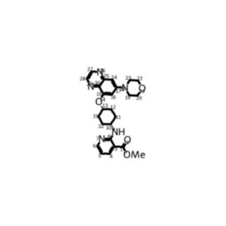 COC(=O)c1cccnc1N[C@H]1CC[C@@H](Oc2cc(N3CCOCC3)cc3nccnc23)CC1